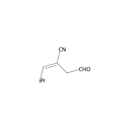 CC(C)/C=C(/C#N)CC=O